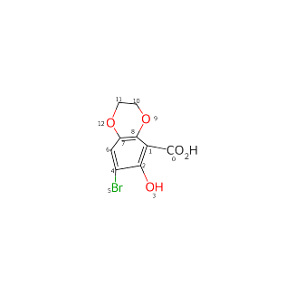 O=C(O)c1c(O)c(Br)cc2c1OCCO2